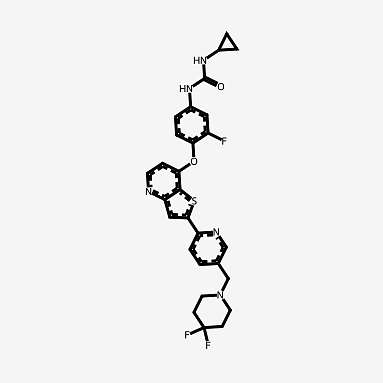 O=C(Nc1ccc(Oc2ccnc3cc(-c4ccc(CN5CCC(F)(F)CC5)cn4)sc23)c(F)c1)NC1CC1